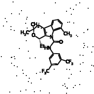 CC[C@@H]1OC(C)(C)Cc2c1n(C(=O)Nc1cc(C(F)(F)F)cc(C(F)(F)F)c1)c1c(C)cccc21